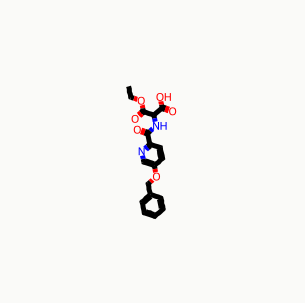 CCOC(=O)C(NC(=O)c1ccc(OCc2ccccc2)cn1)C(=O)O